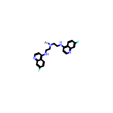 CC(=O)N(CCNc1ccnc2cc(F)ccc12)CCNc1ccnc2cc(F)ccc12